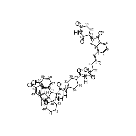 C/C(=C\c1cccc2c1CN(C1CCC(=O)NC1=O)C2=O)CCS(=O)(=O)NC(=O)[C@H]1CC[C@H](NC(=O)[C@@H]2NC3(CCCCC3)[C@@]3(C(=O)Nc4cc(Cl)ccc43)[C@H]2c2cccc(Cl)c2F)CC1